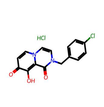 Cl.O=c1ccn2ccn(Cc3ccc(Cl)cc3)c(=O)c2c1O